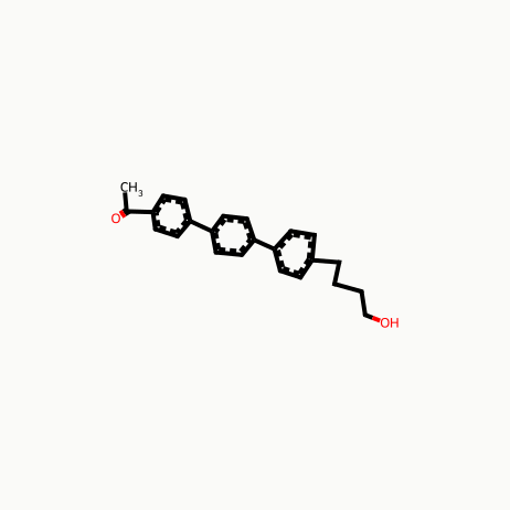 CC(=O)c1ccc(-c2ccc(-c3ccc(CCCCO)cc3)cc2)cc1